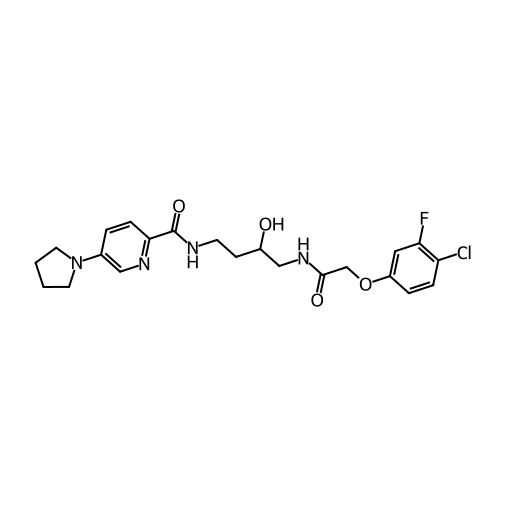 O=C(COc1ccc(Cl)c(F)c1)NCC(O)CCNC(=O)c1ccc(N2CCCC2)cn1